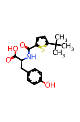 CC(C)(C)c1ccc(C(=O)N[C@@H](Cc2ccc(O)cc2)C(=O)O)s1